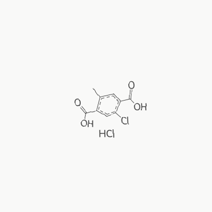 Cc1cc(C(=O)O)c(Cl)cc1C(=O)O.Cl